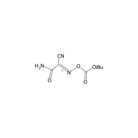 CC(C)COC(=O)O/N=C(\C#N)C(N)=O